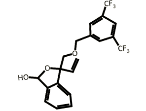 C=CC1(COCc2cc(C(F)(F)F)cc(C(F)(F)F)c2)OC(O)c2ccccc21